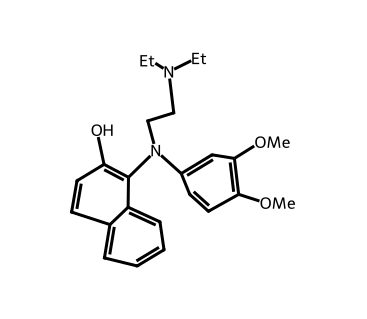 CCN(CC)CCN(c1ccc(OC)c(OC)c1)c1c(O)ccc2ccccc12